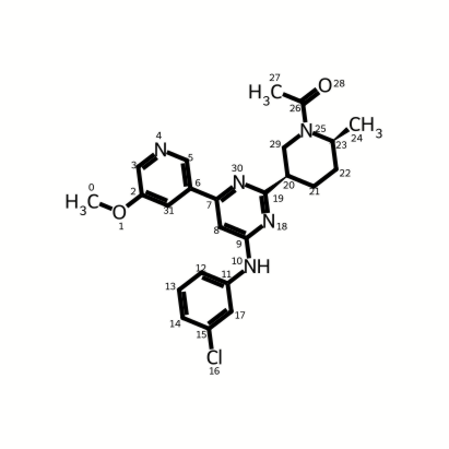 COc1cncc(-c2cc(Nc3cccc(Cl)c3)nc([C@@H]3CC[C@H](C)N(C(C)=O)C3)n2)c1